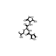 CCC1OCC(=O)C1NC(=O)[C@H](CCC(C)C(C)C)NC(=O)c1ccsc1